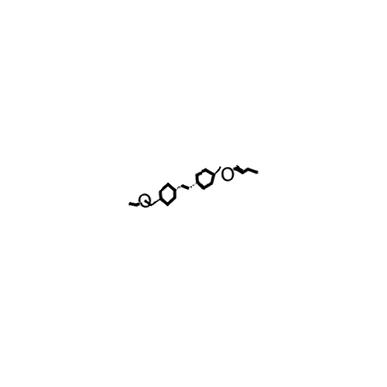 CCC=COC[C@H]1CC[C@H](CC[C@H]2CC[C@H](COCC)CC2)CC1